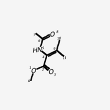 COC(=O)C(NC(C)=O)=C(C)C